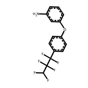 Nc1cccc(Oc2ccc(C(F)(F)C(F)(F)C(F)F)cc2)c1